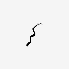 C=C/C=C/C[CH]CC